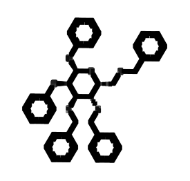 c1ccc(CSC[C@H]2O[C@H](Oc3ccccc3)[C@H](Oc3ccccc3)[C@H](SCc3ccccc3)[C@H]2SCc2ccccc2)cc1